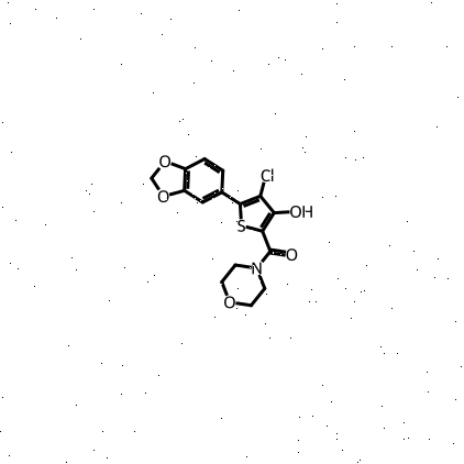 O=C(c1sc(-c2ccc3c(c2)OCO3)c(Cl)c1O)N1CCOCC1